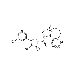 N#CC1C(c2cncc(Cl)c2)CN(C(=O)[C@@H]2CC[C@@H]3CCC[C@H](NC(=O)O)C(=O)N32)C12CC2